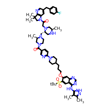 Cc1n[nH]c(Nc2ncnc3cc(OCCCC4CCN(c5ccc(C(=O)N6CCN(C[C@H]7CN[C@H](C)CN7CC(=O)N7CC(C)(C)c8ncc(Cc9ccc(F)cc9)cc87)[C@H](C)C6)cn5)CC4)c(S(=O)(=O)C(C)(C)C)cc23)c1C